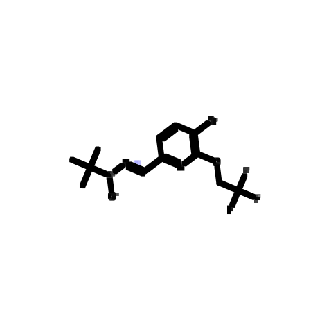 CC(C)(C)[S+]([O-])/N=C/c1ccc(Br)c(OCC(F)(F)F)n1